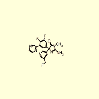 CN1C(=O)C(c2cncc(CF)c2)(c2cc(F)c(F)c(-c3cnccn3)c2)N=C1N